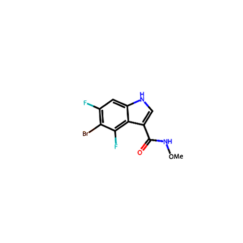 CONC(=O)c1c[nH]c2cc(F)c(Br)c(F)c12